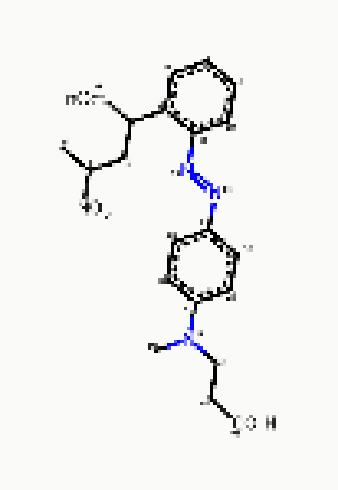 CCCCCCCCC(CC(C)[N+](=O)[O-])c1ccccc1N=Nc1ccc(N(C)CCC(=O)O)cc1